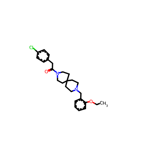 CCOc1ccccc1CN1CCC2(CC1)CCN(C(=O)Cc1ccc(Cl)cc1)CC2